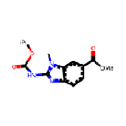 COC(=O)c1ccc2nc(NC(=O)OC(C)C)n(C)c2c1